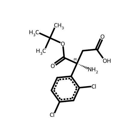 CC(C)(C)OC(=O)[C@@](N)(CC(=O)O)c1ccc(Cl)cc1Cl